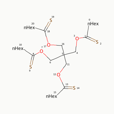 CCCCCCC(=S)OCC(COC(=S)CCCCCC)(COC(=S)CCCCCC)COC(=S)CCCCCC